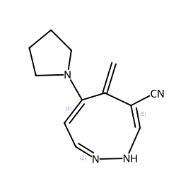 C=C1/C(C#N)=C\N/N=C\C=C/1N1CCCC1